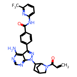 C=CC(=O)N1CC2CC1C(n1nc(-c3ccc(C(=O)Nc4cccc(C(F)(F)F)n4)cc3)c3c(N)ncnc31)C2